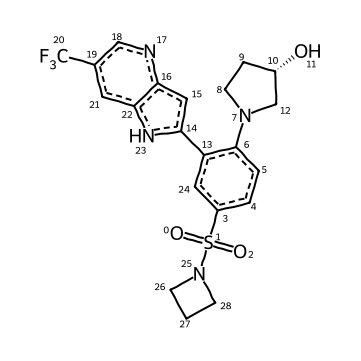 O=S(=O)(c1ccc(N2CC[C@H](O)C2)c(-c2cc3ncc(C(F)(F)F)cc3[nH]2)c1)N1CCC1